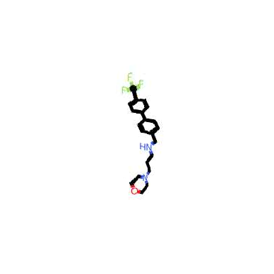 FC(F)(F)c1ccc(-c2ccc(CNCCCN3CCOCC3)cc2)cc1